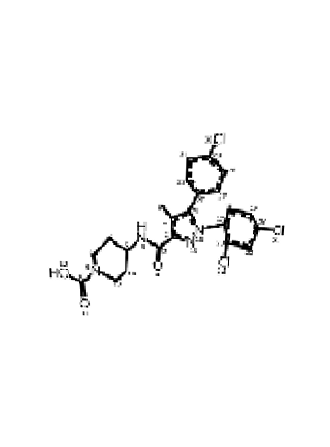 Cc1c(C(=O)NC2CCN(C(=O)O)CC2)nn(-c2ccc(Cl)cc2Cl)c1-c1ccc(Cl)cc1